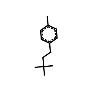 Cc1ccc([CH]CC(C)(C)C)cc1